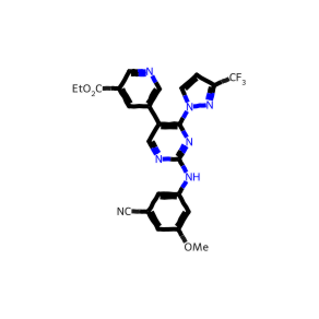 CCOC(=O)c1cncc(-c2cnc(Nc3cc(C#N)cc(OC)c3)nc2-n2ccc(C(F)(F)F)n2)c1